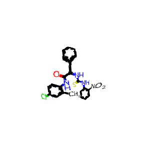 Cc1cc(Cl)ccc1NC(=O)C(NC(=S)Nc1ccccc1[N+](=O)[O-])c1ccccc1